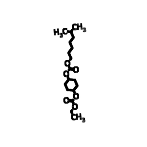 CCOC(=O)OC1CCC(OC(=O)OCCCCCC(C)C)CC1